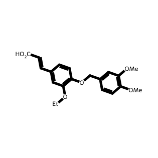 CCOc1cc(C=CC(=O)O)ccc1OCc1ccc(OC)c(OC)c1